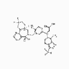 Cc1ccc([C@@H](CC(=O)O)c2ccn3c(C(F)(F)F)nnc3c2C)cc1CN1C[C@@H]2CCC(F)(F)CN2c2ncccc2S1(=O)=O